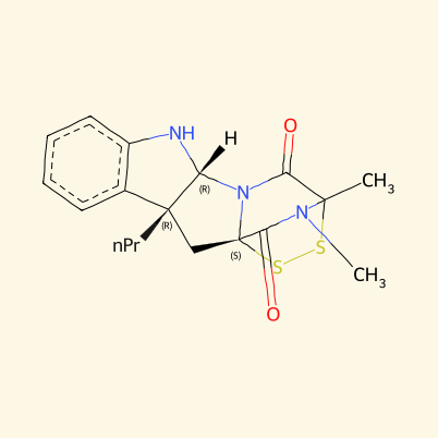 CCC[C@]12C[C@@]34SSC(C)(C(=O)N3[C@H]1Nc1ccccc12)N(C)C4=O